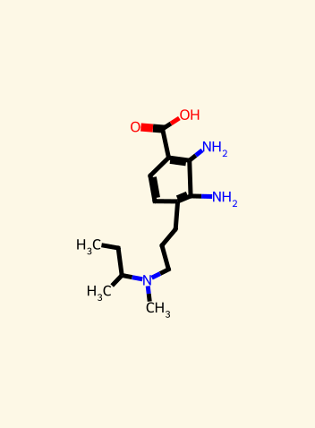 CCC(C)N(C)CCCc1ccc(C(=O)O)c(N)c1N